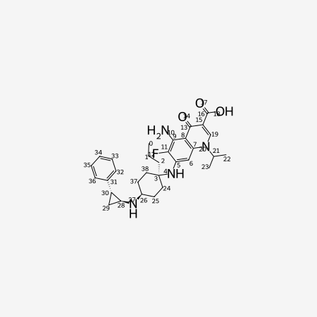 CCC[C@]1(Nc2cc3c(c(N)c2F)c(=O)c(C(=O)O)cn3C(C)C)CC[C@@H](N[C@H]2C[C@@H]2c2ccccc2)CC1